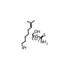 CC(C)=CCCCCCC(C)C.NC(=S)S.O=C(O)CO